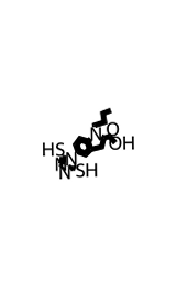 CCCCN1c2ccc(-n3c(S)nnc3S)cc2CC1C(=O)O